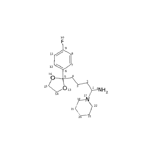 NC(CCCC1(c2ccc(F)cc2)OCCO1)N1CCCCC1